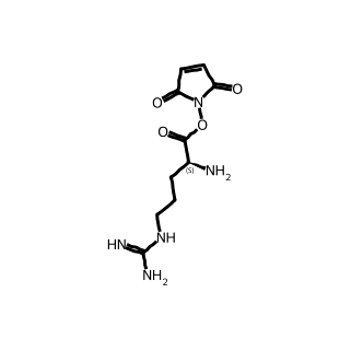 N=C(N)NCCC[C@H](N)C(=O)ON1C(=O)C=CC1=O